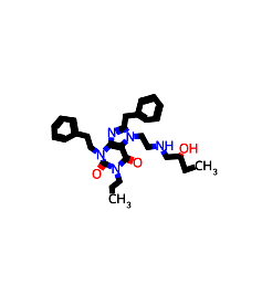 CCCn1c(=O)c2c(nc(Cc3ccccc3)n2CCNCC(O)CC)n(CCc2ccccc2)c1=O